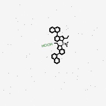 CCC1=Cc2c(-c3cccc4ccccc34)cccc2[CH]1[Zr]([CH]1C(CC)=Cc2c(-c3cccc4ccccc34)cccc21)=[Si](C)C.Cl.Cl